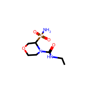 CCNC(=O)N1CCOCC1S(N)(=O)=O